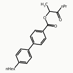 CCCCCCc1ccc(-c2ccc(C(=O)OC(C)C(=O)CCC)cc2)cc1